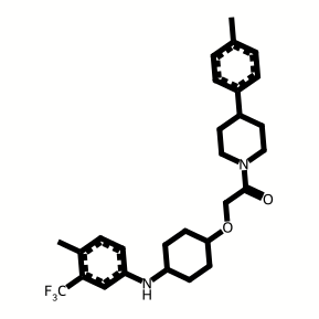 Cc1ccc(C2CCN(C(=O)COC3CCC(Nc4ccc(C)c(C(F)(F)F)c4)CC3)CC2)cc1